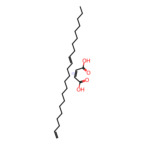 C=CCCCCCCCCCCC=CCCCCCCCC.O=C(O)/C=C\C(=O)O